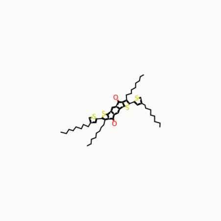 CCCCCCCCc1csc(-c2sc3c(c2CCCCCCCC)c(=O)c2cc4c(cc23)c(=O)c2c(CCCCCCCC)c(-c3cc(CCCCCCCC)cs3)sc24)c1